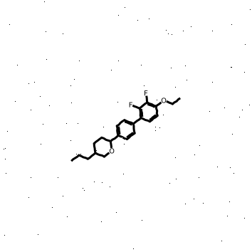 CCCC1CCC(c2ccc(-c3ccc(OCC)c(F)c3F)cc2)OC1